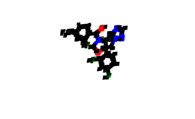 CC1N(C(=O)c2ccc(C(F)(F)F)cc2F)COC1(Cn1cncn1)c1ccc(F)cc1F